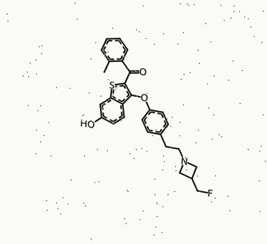 Cc1ccccc1C(=O)c1sc2cc(O)ccc2c1Oc1ccc(CCN2CC(CF)C2)cc1